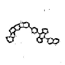 C1=CC2=CC=C(c3c4ccccc4c(-c4ccc(C5=CC=C6Oc7cc8ccc9c%10ccccc%10oc9c8cc7C6C5)cc4)c4ccccc34)CC2C=C1